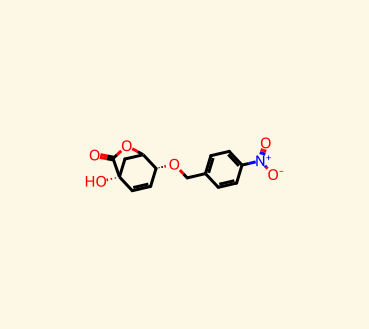 O=C1OC2C[C@@]1(O)C=C[C@H]2OCc1ccc([N+](=O)[O-])cc1